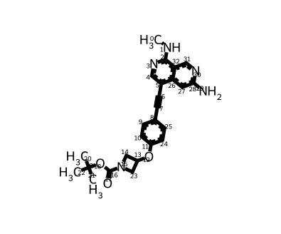 CNc1ncc(C#Cc2ccc(OC3CN(C(=O)OC(C)(C)C)C3)cc2)c2cc(N)ncc12